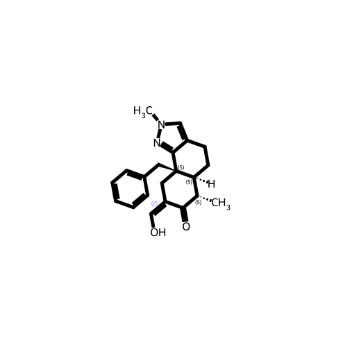 C[C@@H]1C(=O)/C(=C\O)C[C@]2(Cc3ccccc3)c3nn(C)cc3CC[C@@H]12